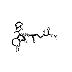 CC(=O)CNCCC(=O)Nc1sc2c(c1-c1nc3ccccc3s1)CCNC2